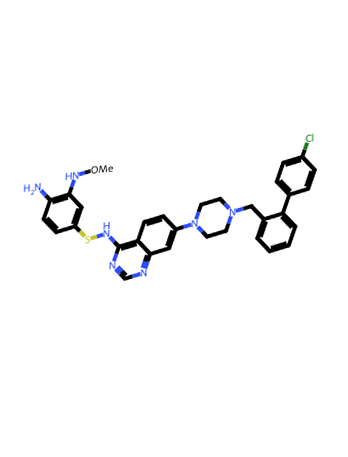 CONc1cc(SNc2ncnc3cc(N4CCN(Cc5ccccc5-c5ccc(Cl)cc5)CC4)ccc23)ccc1N